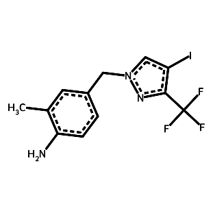 Cc1cc(Cn2cc(I)c(C(F)(F)F)n2)ccc1N